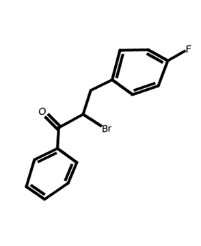 O=C(c1ccccc1)C(Br)Cc1ccc(F)cc1